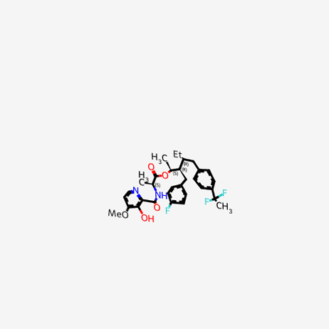 CC[C@H](Cc1ccc(C(C)(F)F)cc1)[C@@H](Cc1ccc(F)cc1)[C@H](C)OC(=O)[C@H](C)NC(=O)c1nccc(OC)c1O